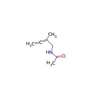 C=C=C(C)CNC(C)=O